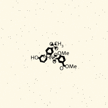 COC(=O)c1ccc(OC)c(S(=O)(=O)Nc2cc(S(C)(=O)=O)ccc2N2CCCC(O)C2)c1